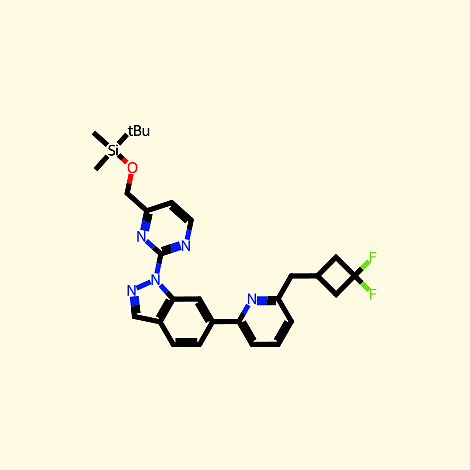 CC(C)(C)[Si](C)(C)OCc1ccnc(-n2ncc3ccc(-c4cccc(CC5CC(F)(F)C5)n4)cc32)n1